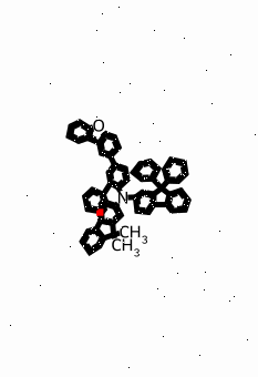 CC1(C)c2ccccc2-c2ccc(N(c3ccc4c(c3)C(c3ccccc3)(c3ccccc3)c3ccccc3-4)c3ccc(-c4ccc5oc6ccccc6c5c4)cc3-c3ccccc3)cc21